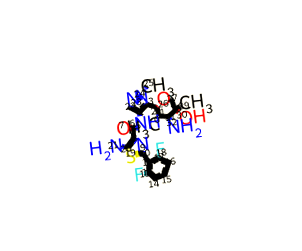 CC1C(c2c(NC(=O)c3nc(-c4c(F)cccc4F)sc3N)cnn2C)OCC(C)(O)C1N